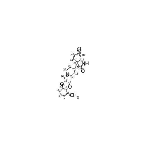 Cc1cccc2c1OCC(CN1CCC(n3c(=O)[nH]c4cc(Cl)ccc43)CC1)O2